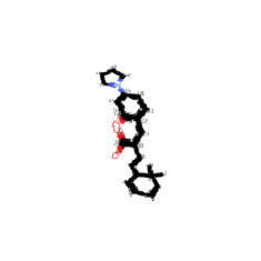 CC1(C)C=CC=CC1/C=C/c1cc2ccc(N3CCCC3)cc2oc1=O